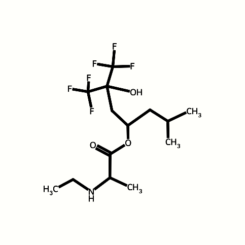 CCNC(C)C(=O)OC(CC(C)C)CC(O)(C(F)(F)F)C(F)(F)F